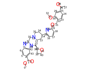 COC(=O)c1ccc2nc(CN3CCC(c4cccc(OCc5ccc(C(C)=O)cc5OC)n4)CC3)n(C[C@@H]3CCO3)c2c1